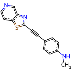 CNc1ccc(C#Cc2nc3cnccc3s2)cc1